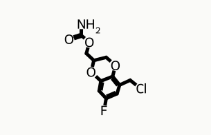 NC(=O)OCC1COc2c(CCl)cc(F)cc2O1